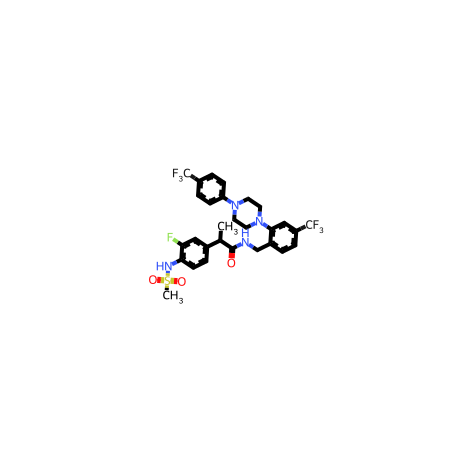 CC(C(=O)NCc1ccc(C(F)(F)F)cc1N1CCN(c2ccc(C(F)(F)F)cc2)CC1)c1ccc(NS(C)(=O)=O)c(F)c1